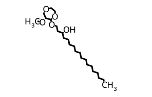 CCCCCCCCCCCCCCCC(O)CCOC1OCCOCC1OC